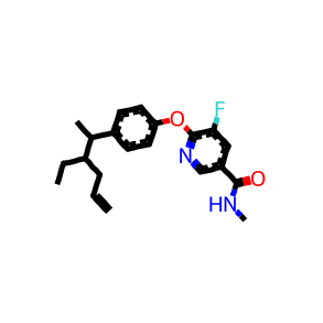 C=CCC(CC)C(C)c1ccc(Oc2ncc(C(=O)NC)cc2F)cc1